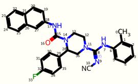 Cc1ccccc1N/C(=N/C#N)N1CCN(C(=O)Nc2ccc3ccccc3c2)C(c2ccc(F)cc2)C1